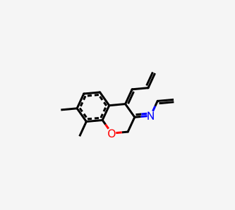 C=C/C=C1\C(=N/C=C)COc2c1ccc(C)c2C